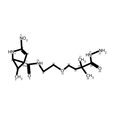 CC1C2NC([N+](=O)[O-])=C[C@@]12C(=O)NCCOCCC(C)(C)C(=O)NN